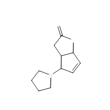 O=C1CC2C(C=CC2N2CCCC2)O1